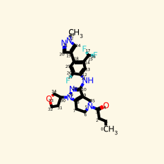 CCCC(=O)N1CCc2c(c(Nc3cc(C(F)F)c(-c4cnn(C)c4)cc3F)nn2C2CCOC2)C1